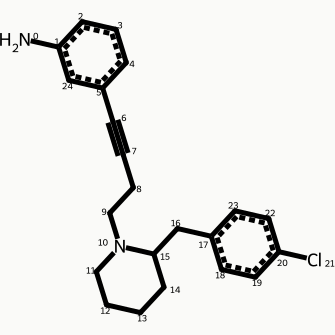 Nc1cccc(C#CCCN2CCCCC2Cc2ccc(Cl)cc2)c1